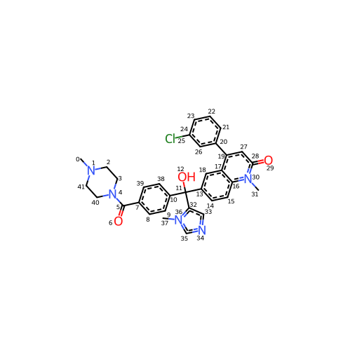 CN1CCN(C(=O)c2ccc(C(O)(c3ccc4c(c3)c(-c3cccc(Cl)c3)cc(=O)n4C)c3cncn3C)cc2)CC1